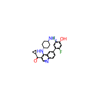 N[C@H]1CC[C@H](Nc2c(C(=O)C3CC3)cnc3ccc(-c4cc(F)c(O)cc4F)cc23)CC1